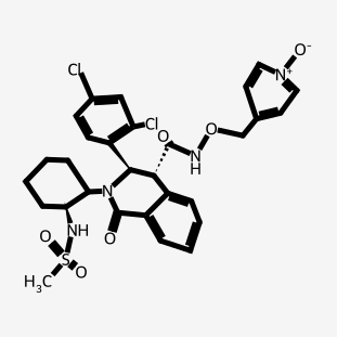 CS(=O)(=O)N[C@H]1CCCCC1N1C(=O)c2ccccc2[C@@H](C(=O)NOCc2cc[n+]([O-])cc2)[C@@H]1c1ccc(Cl)cc1Cl